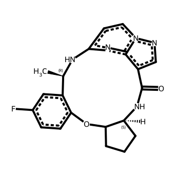 C[C@H]1Nc2ccn3ncc(c3n2)C(=O)N[C@H]2CCCC2Oc2ccc(F)cc21